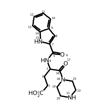 O=C(O)CCC(NC(=O)c1cc2ccccc2[nH]1)C(=O)N1CCNCC1